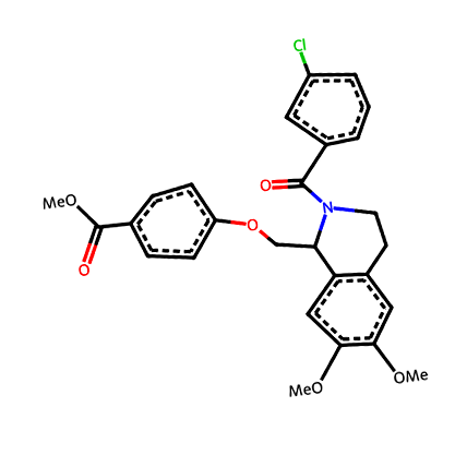 COC(=O)c1ccc(OCC2c3cc(OC)c(OC)cc3CCN2C(=O)c2cccc(Cl)c2)cc1